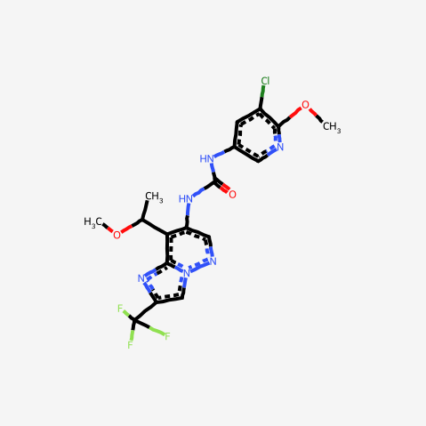 COc1ncc(NC(=O)Nc2cnn3cc(C(F)(F)F)nc3c2C(C)OC)cc1Cl